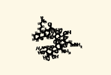 CC(=O)c1ccc2c(c1)N(CCCN(C)C)c1ccccc1S2.NCC[C@H](O)C(=O)N[C@@H]1C[C@H](N)[C@@H](O[C@H]2O[C@H](CN)[C@@H](O)[C@H](O)[C@H]2O)[C@H](O)[C@H]1O[C@H]1O[C@H](CO)[C@@H](O)[C@H](N)[C@H]1O